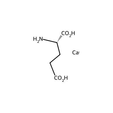 N[C@@H](CCC(=O)O)C(=O)O.[Ca]